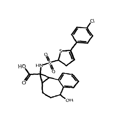 O=C(O)C1(NS(=O)(=O)C2CC=C(c3ccc(Cl)cc3)S2)C2CCC(O)c3ccccc3C21